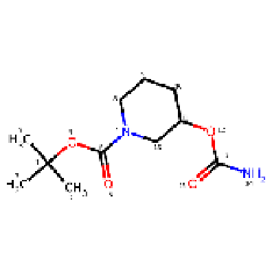 CC(C)(C)OC(=O)N1CCCC(OC(N)=O)C1